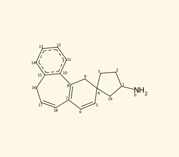 NC1CCC2(C=CC3=C(C2)c2ccccc2CC=C3)C1